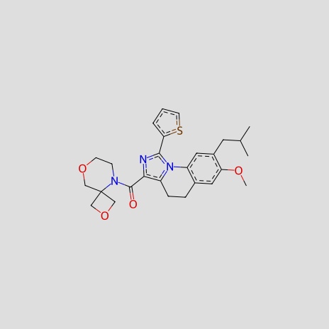 COc1cc2c(cc1CC(C)C)-n1c(-c3cccs3)nc(C(=O)N3CCOCC34COC4)c1CC2